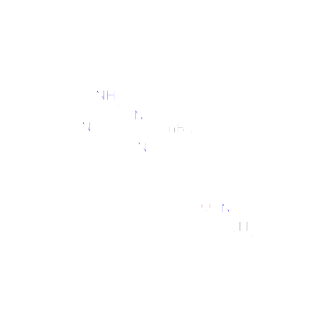 C=NOCCCCn1c(CCCC)nc2c(N)nc3ccccc3c21